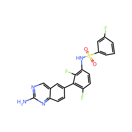 Nc1ncc2cc(-c3c(F)ccc(NS(=O)(=O)c4cccc(F)c4)c3F)ccc2n1